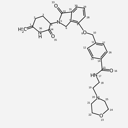 C=C1CCC(N2Cc3c(OCc4ccc(C(=O)NCCN5CCOCC5)cc4)cccc3C2=O)C(=O)N1